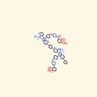 Nc1ncccc1-c1nc2ccc(-c3ccc(-c4ccc(-c5nc6ccc(-c7ccccc7)nc6n5-c5ccc(CN6CCN(c7cccc(O)c7C=O)CC6)cc5)c(N)n4)cc3)nc2n1-c1ccc(CN2CCN(C(=O)c3cccc(O)c3C=O)CC2)cc1